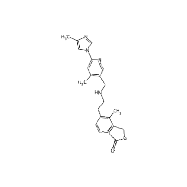 Cc1cn(-c2cc(C)c(CNCCc3ccc4c(c3C)COC4=O)cn2)cn1